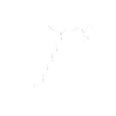 CCCCCCCCOC/C(C#N)=C\C=C\N(C)C